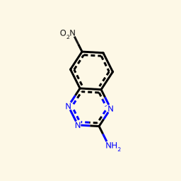 Nc1nnc2cc([N+](=O)[O-])ccc2n1